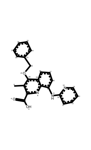 Cc1c(C(=O)O)nc2c(Nc3ccccn3)cccc2c1OCc1ccccc1